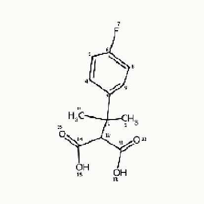 CC(C)(c1ccc(F)cc1)C(C(=O)O)C(=O)O